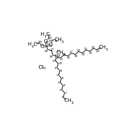 CCCCCCCCCCCC[N+](C)(CCCCCCCCCCCC)CCC[Si](OCC)(OCC)OCC.[Cl-]